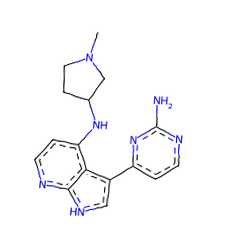 CN1CCC(Nc2ccnc3[nH]cc(-c4ccnc(N)n4)c23)C1